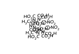 CC(C)(CN(CC(=O)O)CC(Cc1ccc([N+](=O)[O-])cc1)N(CC(=O)O)CC(=O)O)CN(CC(=O)O)C(C(=O)O)N(CC(=O)O)CC(C)(C)CN(CC(=O)O)CC(Cc1ccc([N+](=O)[O-])cc1)N(CC(=O)O)CC(=O)O